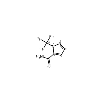 NC(=O)c1ccnn1C(F)(F)F